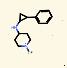 CCCN1CCC(NC2CC2c2ccccc2)CC1